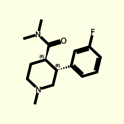 CN1CC[C@@H](C(=O)N(C)C)[C@H](c2cccc(F)c2)C1